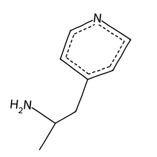 CC(N)Cc1ccncc1